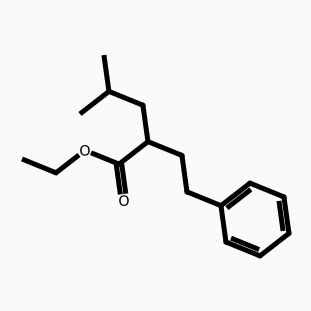 CCOC(=O)C(CCc1ccccc1)CC(C)C